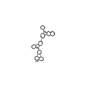 c1ccc(-n2c3ccc(-c4ccc5c(c4)c4ccccc4n5-c4ccc5c(c4)-c4ccnc6cccc-5c46)cc3c3cc4ccccc4cc32)cc1